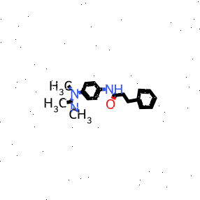 CN=C(C)N(C)c1ccc(NC(=O)CCc2ccccc2)cc1